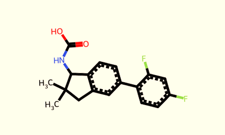 CC1(C)Cc2cc(-c3ccc(F)cc3F)ccc2C1NC(=O)O